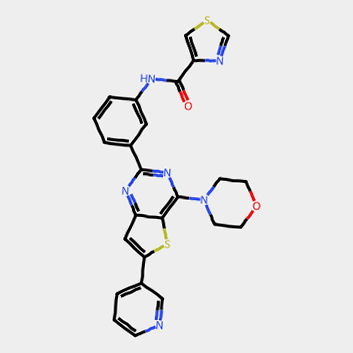 O=C(Nc1cccc(-c2nc(N3CCOCC3)c3sc(-c4cccnc4)cc3n2)c1)c1cscn1